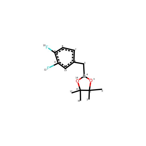 CC1(C)OB(Cc2ccc(F)c(F)c2)OC1(C)C